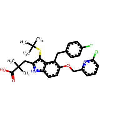 CC(C)(C)Sc1c(CC(C)(C)C(=O)O)[nH]c2ccc(OCc3cccc(Cl)n3)c(Cc3ccc(Cl)cc3)c12